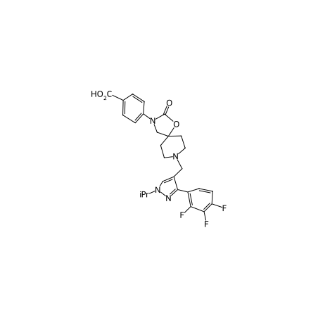 CC(C)n1cc(CN2CCC3(CC2)CN(c2ccc(C(=O)O)cc2)C(=O)O3)c(-c2ccc(F)c(F)c2F)n1